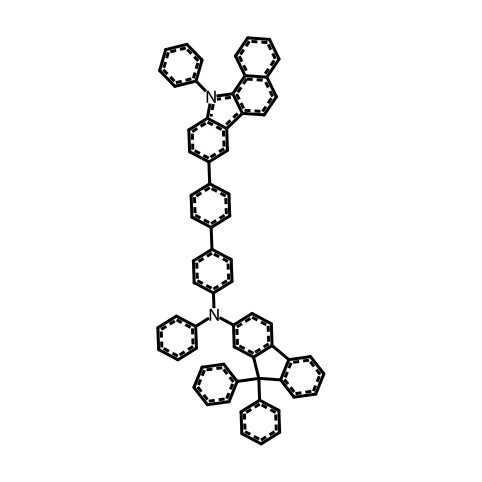 c1ccc(N(c2ccc(-c3ccc(-c4ccc5c(c4)c4ccc6ccccc6c4n5-c4ccccc4)cc3)cc2)c2ccc3c(c2)C(c2ccccc2)(c2ccccc2)c2ccccc2-3)cc1